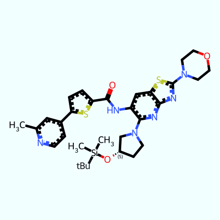 Cc1cc(-c2ccc(C(=O)Nc3cc4sc(N5CCOCC5)nc4nc3N3CC[C@H](O[Si](C)(C)C(C)(C)C)C3)s2)ccn1